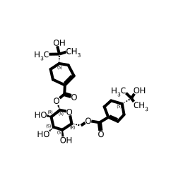 CC(C)(O)[C@@H]1CC=C(C(=O)OC[C@H]2O[C@@H](OC(=O)C3=CC[C@@H](C(C)(C)O)CC3)[C@H](O)[C@@H](O)[C@@H]2O)CC1